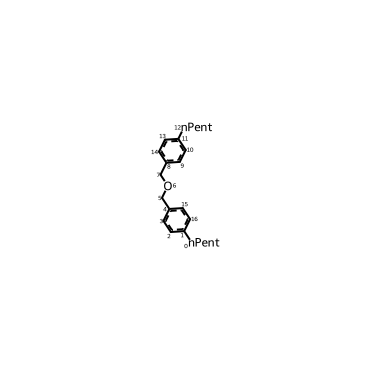 CCCCCc1ccc(COCc2ccc(CCCCC)cc2)cc1